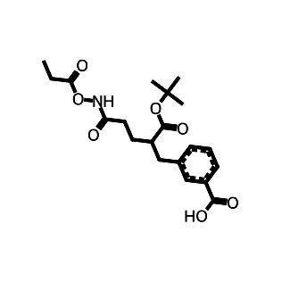 CCC(=O)ONC(=O)CCC(Cc1cccc(C(=O)O)c1)C(=O)OC(C)(C)C